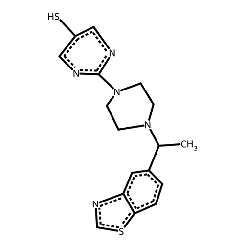 CC(c1ccc2scnc2c1)N1CCN(c2ncc(S)cn2)CC1